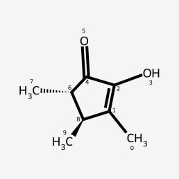 CC1=C(O)C(=O)[C@@H](C)[C@@H]1C